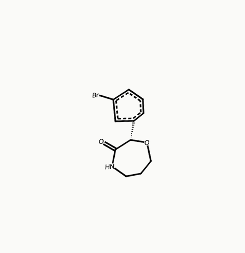 O=C1NCCCO[C@H]1c1cccc(Br)c1